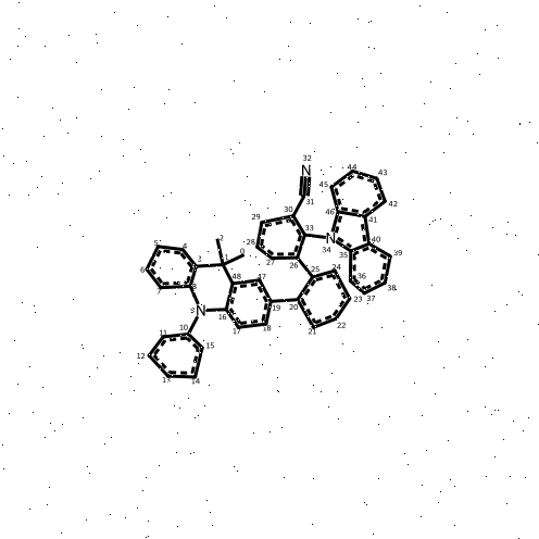 CC1(C)c2ccccc2N(c2ccccc2)c2ccc(-c3ccccc3-c3cccc(C#N)c3-n3c4ccccc4c4ccccc43)cc21